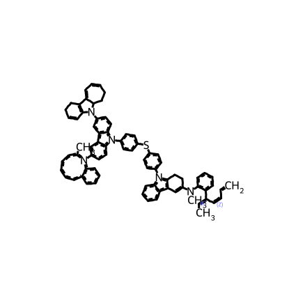 C=C/C=C\C(=C/C)c1ccccc1N(C)C1=Cc2c(n(-c3ccc(Sc4ccc(-n5c6ccc(N7C8=C(CCC=C8)C8=CC=CCCC87)cc6c6cc(-n7c(C)cccccc8ccccc87)ccc65)cc4)cc3)c3ccccc23)CC1